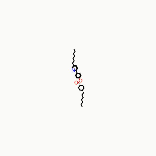 CCCCCCCc1ccc(-c2ccc(OC(=O)[C@H]3CC[C@H](CCCCCCC)CC3)cc2)nc1